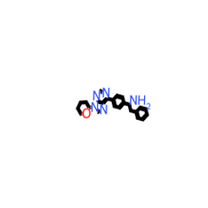 NC(Cc1ccccc1)c1ccc(-c2ncnc3c2ncn3C2CCCCO2)cc1